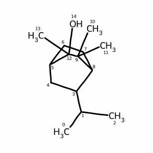 CC(C)C1CC2CCC1C(C)(C)C2(C)O